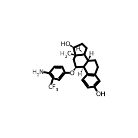 C[C@]12C[C@H](Oc3ccc(N)c(C(F)(F)F)c3)[C@@H]3c4ccc(O)cc4CC[C@H]3[C@@H]1CC[C@@H]2O